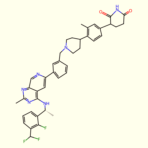 Cc1nc(N[C@H](C)c2cccc(C(F)F)c2F)c2cc(-c3cccc(CN4CCC(c5ccc(C6CCC(=O)NC6=O)cc5C)CC4)c3)ncc2n1